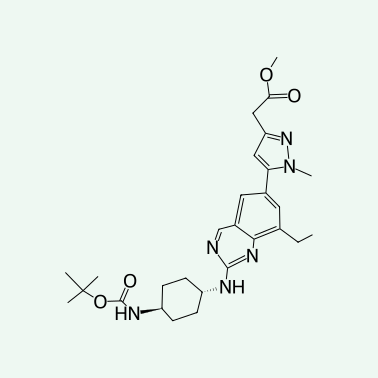 CCc1cc(-c2cc(CC(=O)OC)nn2C)cc2cnc(N[C@H]3CC[C@H](NC(=O)OC(C)(C)C)CC3)nc12